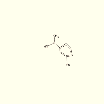 CB(O)c1cccc(C#N)c1